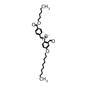 CCCCCCCCCCOc1ccc([N+]([O-])=Cc2ccc(C(=O)OCCCCCC)cc2)c(C=O)c1